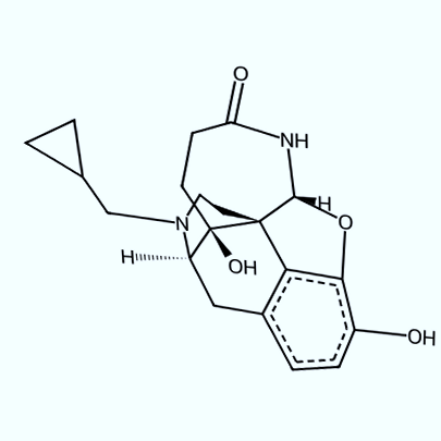 O=C1CC[C@@]2(O)[C@H]3Cc4ccc(O)c5c4[C@@]2(CCN3CC2CC2)[C@H](N1)O5